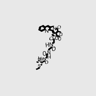 CCSC[C@@H](NC)C(=O)NCC(=O)NCC(=O)NCC(=O)O[C@]1(CC)C(=O)OCc2c1cc1n(c2=O)Cc2cc3ccccc3nc2-1